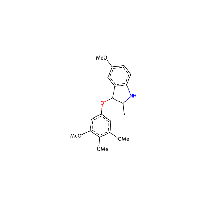 COc1ccc2c(c1)C(Oc1cc(OC)c(OC)c(OC)c1)C(C)N2